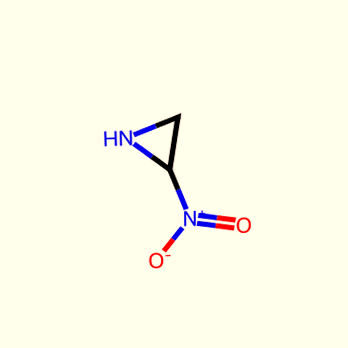 O=[N+]([O-])C1CN1